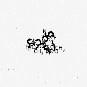 CCC[C@H]1N(C(=O)c2ncccc2C(F)(F)F)CCC[C@@]1(Oc1csc(C(F)(F)F)c1)C(=O)N1CCC(C#N)(c2cccc(F)c2OCCCC(C)(C)C(=O)O)CC1